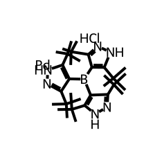 CC(C)(C)c1n[nH]c(C(C)(C)C)c1B(c1c(C(C)(C)C)n[nH]c1C(C)(C)C)c1c(C(C)(C)C)n[nH]c1C(C)(C)C.Cl.[Pd]